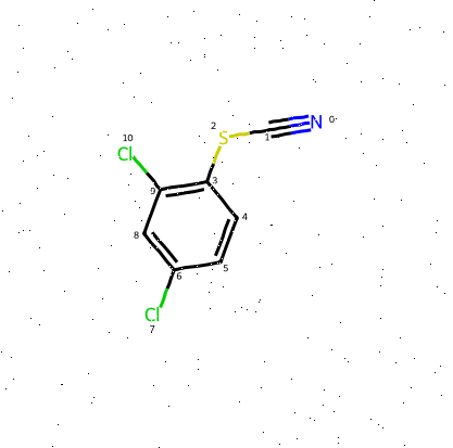 N#CSc1ccc(Cl)cc1Cl